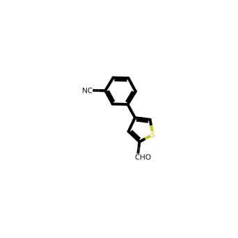 N#Cc1cccc(-c2csc(C=O)c2)c1